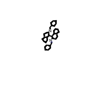 C(=Nc1ccc2ccccc2c1-c1c(/N=C/c2ccccc2)ccc2ccccc12)c1ccccc1